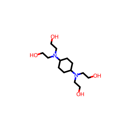 OCCN(CCO)C1CCC(N(CCO)CCO)CC1